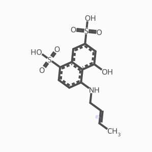 C/C=C/CNc1ccc(S(=O)(=O)O)c2cc(S(=O)(=O)O)cc(O)c12